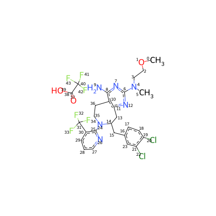 COCCN(C)c1nc(N)c2c(n1)CC(Cc1ccc(Cl)c(Cl)c1)N(c1ncccc1C(F)(F)F)CC2.O=C(O)C(F)(F)F